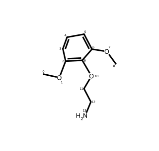 COc1cccc(OC)c1OCCN